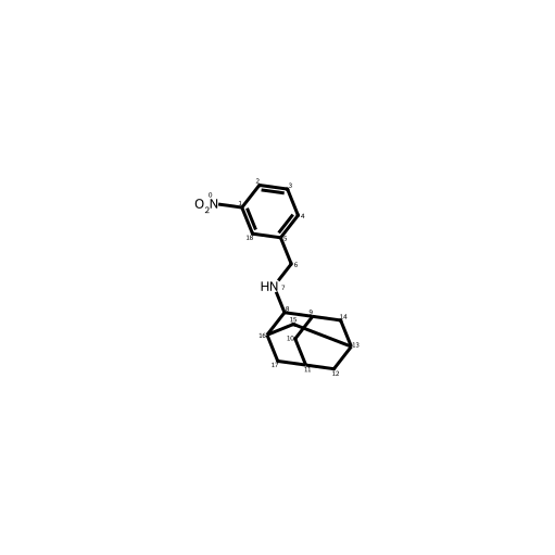 O=[N+]([O-])c1cccc(CNC2C3CC4CC(C3)CC2C4)c1